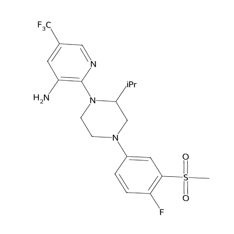 CC(C)C1CN(c2ccc(F)c(S(C)(=O)=O)c2)CCN1c1ncc(C(F)(F)F)cc1N